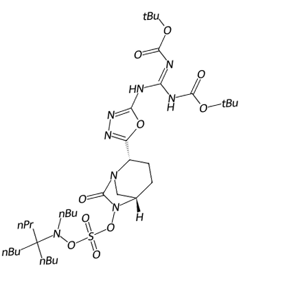 CCCCN(OS(=O)(=O)ON1C(=O)N2C[C@@H]1CC[C@H]2c1nnc(N/C(=N\C(=O)OC(C)(C)C)NC(=O)OC(C)(C)C)o1)C(CCC)(CCCC)CCCC